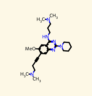 COc1cc2c(NCCCN(C)C)nc(N3CCCCC3)nc2cc1C#CCCN(C)C